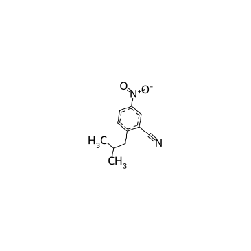 CC(C)Cc1ccc([N+](=O)[O-])cc1C#N